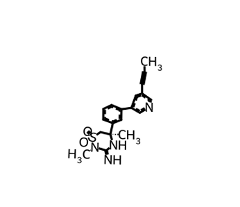 CC#Cc1cncc(-c2cccc([C@]3(C)CS(=O)(=O)N(C)C(=N)N3)c2)c1